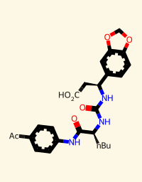 CCCC[C@H](NC(=O)N[C@@H](CC(=O)O)c1ccc2c(c1)OCO2)C(=O)Nc1ccc(C(C)=O)cc1